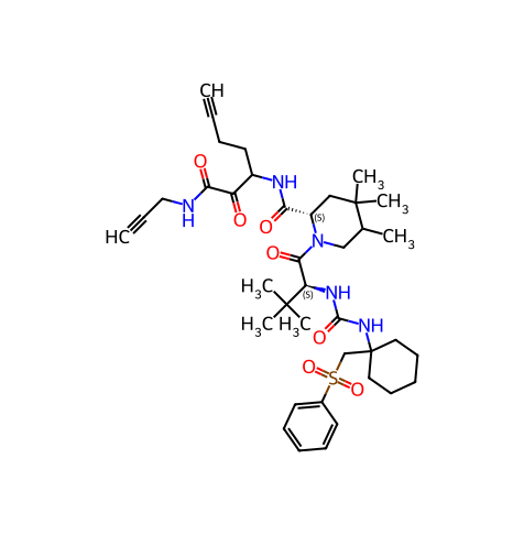 C#CCCC(NC(=O)[C@@H]1CC(C)(C)C(C)CN1C(=O)[C@@H](NC(=O)NC1(CS(=O)(=O)c2ccccc2)CCCCC1)C(C)(C)C)C(=O)C(=O)NCC#C